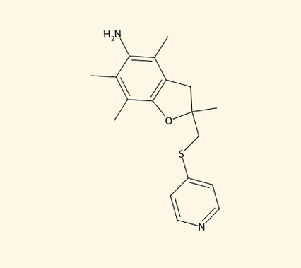 Cc1c(C)c2c(c(C)c1N)CC(C)(CSc1ccncc1)O2